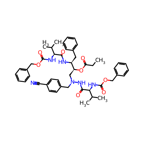 CCC(=O)O[C@@H](CN(Cc1ccc(C#N)cc1)NC(=O)[C@@H](NC(=O)OCc1ccccc1)C(C)C)[C@H](Cc1ccccc1)NC(=O)[C@@H](NC(=O)OCc1ccccc1)C(C)C